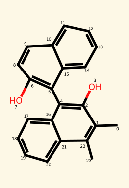 Cc1c(O)c(-c2c(O)ccc3ccccc23)c2ccccc2c1C